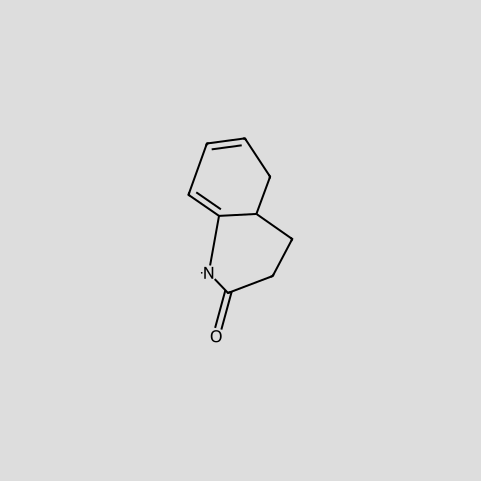 O=C1CCC2CC=CC=C2[N]1